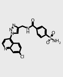 NS(=O)(=O)c1ccc(C(=O)NCc2cn(-c3ccnc4cc(Cl)ccc34)nn2)cc1